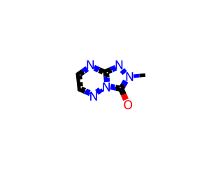 Cn1nc2nccnn2c1=O